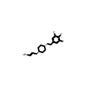 CCC/C=C/C[C@H]1CC[C@H](CCc2cc(F)c(F)c(F)c2)CC1